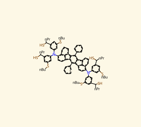 CCCCSc1cc(C(S)CCC)cc(N(c2cc(SCCCC)cc(C(S)CCC)c2)c2ccc3c4c(-c5ccccc5)c5c6ccc(N(c7cc(SCCCC)cc(C(S)CCC)c7)c7cc(SCCCC)cc(C(S)CCC)c7)c7cccc(c5c(-c5ccccc5)c4c4cccc2c43)c76)c1